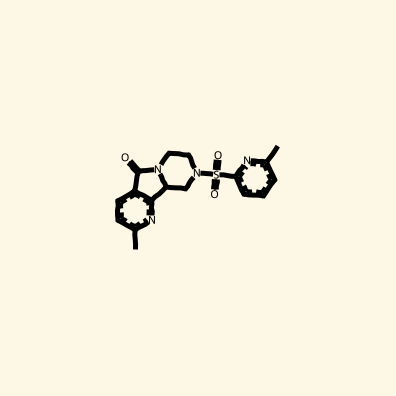 Cc1cccc(S(=O)(=O)N2CCN3C(=O)c4ccc(C)nc4C3C2)n1